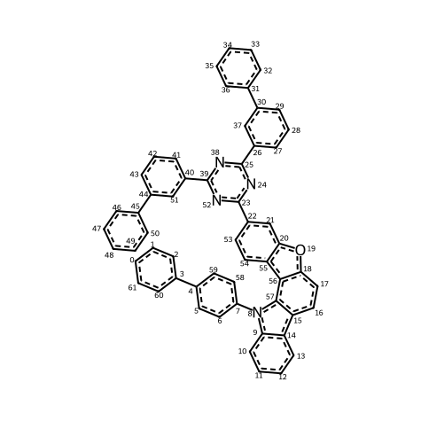 c1ccc(-c2ccc(-n3c4ccccc4c4ccc5oc6cc(-c7nc(-c8cccc(-c9ccccc9)c8)nc(-c8cccc(-c9ccccc9)c8)n7)ccc6c5c43)cc2)cc1